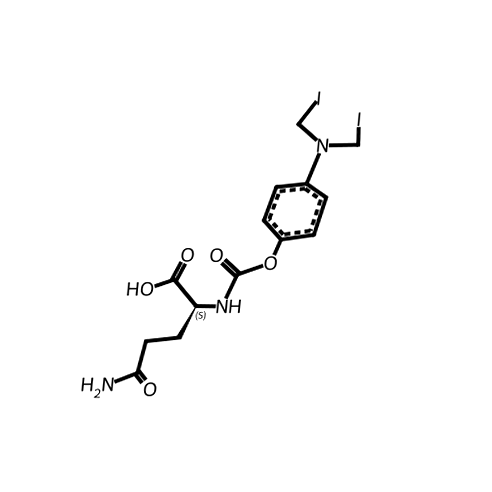 NC(=O)CC[C@H](NC(=O)Oc1ccc(N(CI)CI)cc1)C(=O)O